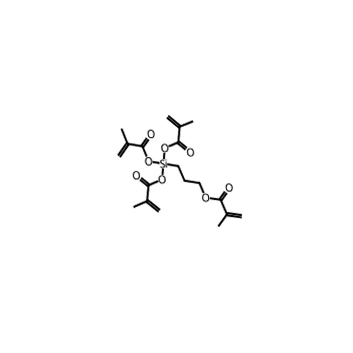 C=C(C)C(=O)OCCC[Si](OC(=O)C(=C)C)(OC(=O)C(=C)C)OC(=O)C(=C)C